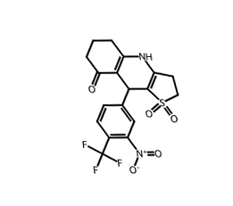 O=C1CCCC2=C1C(c1ccc(C(F)(F)F)c([N+](=O)[O-])c1)C1=C(CCS1(=O)=O)N2